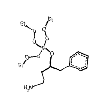 CCOO[Si](OOCC)(OOCC)OC(CCN)Cc1ccccc1